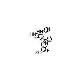 CCOc1cc(F)c(Cn2nc(-c3nc4c(c(Nc5ccncc5)n3)CNCC4)c3ccccc32)c(F)c1